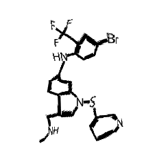 CNCc1cn(Sc2cccnc2)c2cc(Nc3ccc(Br)cc3C(F)(F)F)ccc12